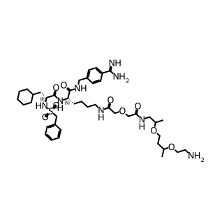 CC(CCOC(C)CNC(=O)COCC(=O)NCCCC[C@H](NC(=O)[C@@H](CC1CCCCC1)NS(=O)(=O)Cc1ccccc1)C(=O)NCc1ccc(C(=N)N)cc1)OCCN